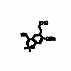 COc1cc2c(cc1CCC=O)C(C(C)(C)C)=CC(C)(C)O2